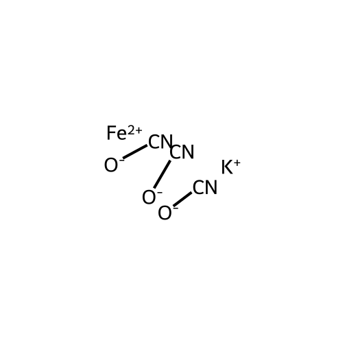 N#C[O-].N#C[O-].N#C[O-].[Fe+2].[K+]